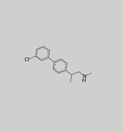 CNCC(C)c1ccc(-c2cccc(Cl)c2)cc1